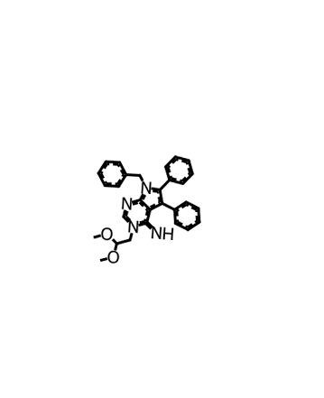 COC(Cn1cnc2c(c(-c3ccccc3)c(-c3ccccc3)n2Cc2ccccc2)c1=N)OC